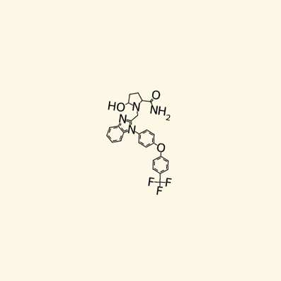 NC(=O)C1CCC(O)N1Cc1nc2ccccc2n1-c1ccc(Oc2ccc(C(F)(F)F)cc2)cc1